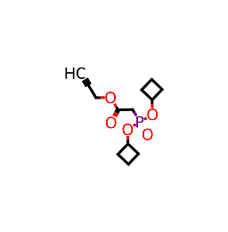 C#CCOC(=O)CP(=O)(OC1CCC1)OC1CCC1